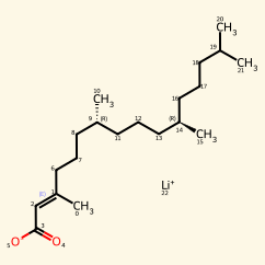 C/C(=C\C(=O)[O-])CCC[C@H](C)CCC[C@H](C)CCCC(C)C.[Li+]